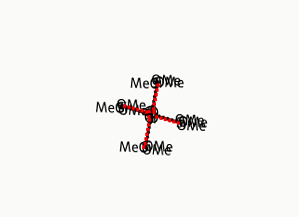 CO[Si](CCCCCCCCCCC[Si]1(C)O[Si](C)(CCCCCCCCCCC[Si](OC)(OC)OC)O[Si](C)(CCCCCCCCCCC[Si](OC)(OC)OC)O[Si](C)(CCCCCCCCCCC[Si](OC)(OC)OC)O1)(OC)OC